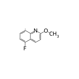 COc1ccc2c(F)cc[c]c2n1